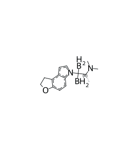 BC(B)([C@@H](C)N(C)C)n1ccc2c3c(ccc21)OCC3